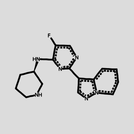 Fc1cnc(-c2cnn3ccccc23)nc1N[C@@H]1CCCNC1